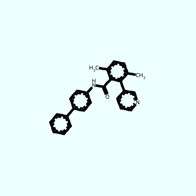 Cc1ccc(C)c(-c2cccnc2)c1C(=O)Nc1ccc(-c2ccccc2)cc1